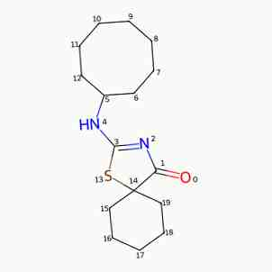 O=C1N=C(NC2CCCCCCC2)SC12CCCCC2